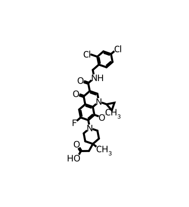 COc1c(N2CCC(C)(CC(=O)O)CC2)c(F)cc2c(=O)c(C(=O)NCc3ccc(Cl)cc3Cl)cn(C3CC3)c12